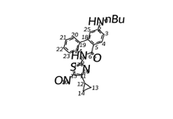 CCCCNc1ccc(C(=O)Nc2nc(C3CC3)c(N=O)s2)c(-c2ccccc2)c1